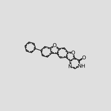 O=c1[nH]cnc2c1oc1cc3oc4cc(-c5ccccc5)ccc4c3cc12